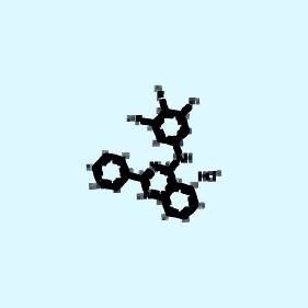 Cl.Fc1cc(Nc2nc(-c3cccnc3)nc3ccccc23)cc(F)c1F